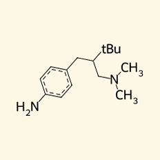 CN(C)CC(Cc1ccc(N)cc1)C(C)(C)C